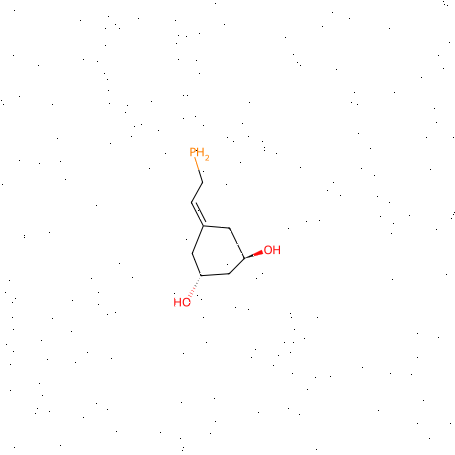 O[C@@H]1CC(=CCP)C[C@@H](O)C1